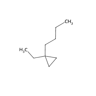 CCCCC1(CC)CC1